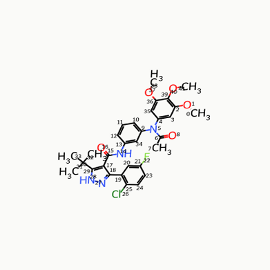 COc1cc(N(C(C)=O)c2cccc(NC(=O)c3c(-c4cc(F)ccc4Cl)n[nH]c3C(C)(C)C)c2)cc(OC)c1OC